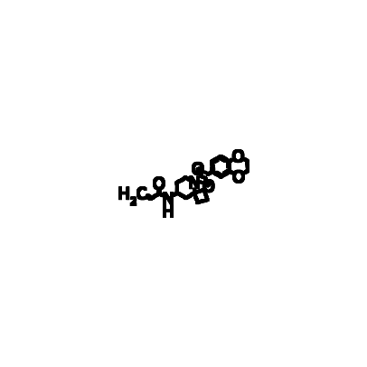 C=CC(=O)NC1CCN(S(=O)(=O)c2ccc3c(c2)OCCO3)C2(CCC2)C1